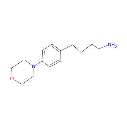 NCCCCc1ccc(N2CCOCC2)cc1